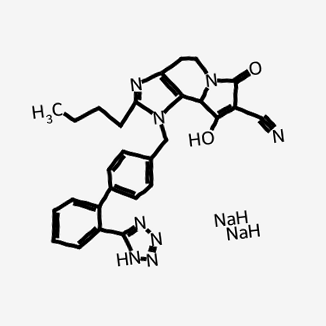 CCCCc1nc2c(n1Cc1ccc(-c3ccccc3-c3nnn[nH]3)cc1)C1C(O)=C(C#N)C(=O)N1CC2.[NaH].[NaH]